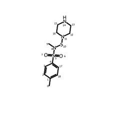 Cc1ccc(S(=O)(=O)N(C)SN2CCNCC2)cc1